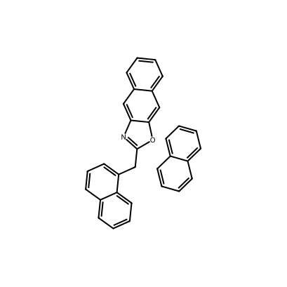 c1ccc2cc3oc(Cc4cccc5ccccc45)nc3cc2c1.c1ccc2ccccc2c1